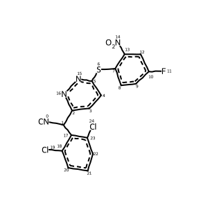 [C-]#[N+]C(c1ccc(Sc2ccc(F)cc2[N+](=O)[O-])nn1)c1c(Cl)cccc1Cl